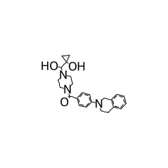 O=C(c1ccc(N2CCc3ccccc3C2)cc1)N1CCN(C(O)C2(O)CC2)CC1